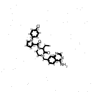 CCC1C(=O)N(Cc2ccc3c(N)ncnc3c2)CCN1C(=O)c1cccn1-c1ccc(Cl)cc1